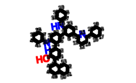 Oc1cc(-c2cc(-c3cc(-c4cccc(-c5ccccc5)n4)ccc3Nc3ccccc3)ccc2Nc2ccccc2)ccc1-c1cccc2ccccc12